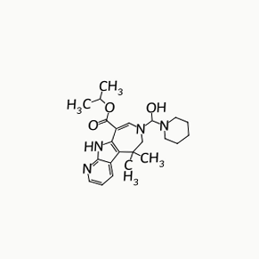 CC(C)OC(=O)C1=CN(C(O)N2CCCCC2)CC(C)(C)c2c1[nH]c1ncccc21